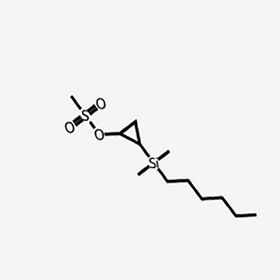 CCCCCC[Si](C)(C)C1CC1OS(C)(=O)=O